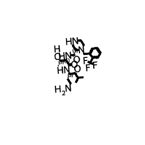 CC(C)C(=O)[C@H](CCN)NC(=O)[C@@H](NC(=O)[C@@H]1CNCCN1Cc1ccccc1C(F)(F)F)[C@H](C)O